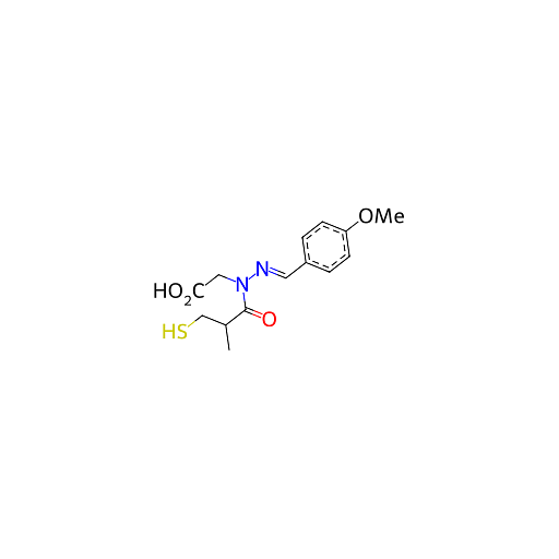 COc1ccc(C=NN(CC(=O)O)C(=O)C(C)CS)cc1